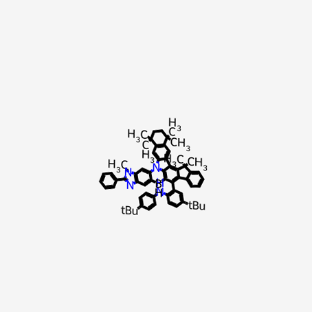 Cn1c(-c2ccccc2)nc2cc3c(cc21)-n1c2cc4c(cc2c2c5c(c(-c6cc(C(C)(C)C)ccc6Nc6ccc(C(C)(C)C)cc6)c(c21)B3)-c1ccccc1C5(C)C)C(C)(C)CCC4(C)C